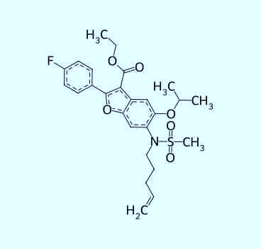 C=CCCCN(c1cc2oc(-c3ccc(F)cc3)c(C(=O)OCC)c2cc1OC(C)C)S(C)(=O)=O